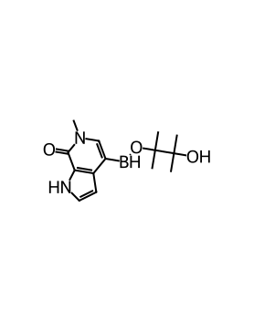 Cn1cc(BOC(C)(C)C(C)(C)O)c2cc[nH]c2c1=O